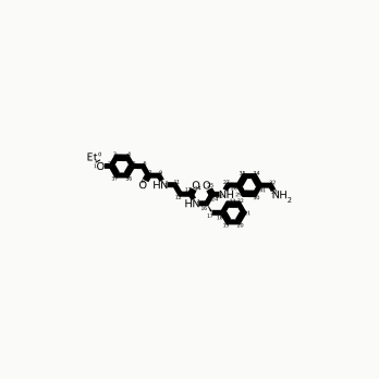 CCOc1ccc(CC(=O)CNCCC(=O)N[C@@H](Cc2ccccc2)C(=O)NCc2ccc(CN)cc2)cc1